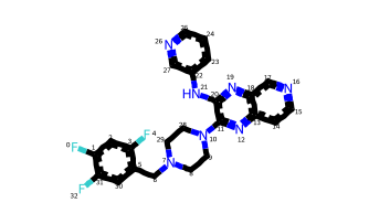 Fc1cc(F)c(CN2CCN(c3nc4ccncc4nc3Nc3cccnc3)CC2)cc1F